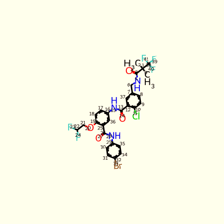 CC(C)(C(=O)NCc1ccc(Cl)c(C(=O)Nc2ccc(OCC(F)F)c(C(=O)Nc3ccc(Br)cc3)c2)c1)C(F)(F)F